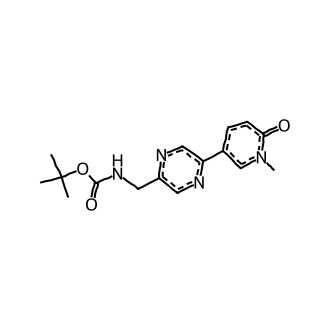 Cn1cc(-c2cnc(CNC(=O)OC(C)(C)C)cn2)ccc1=O